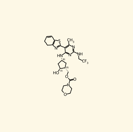 Cc1nc(NCC(F)(F)F)nc(N[C@@H]2C[C@H](COC(=O)N3CCOCC3)[C@@H](O)C2)c1-c1nc2c(s1)C=CCC2